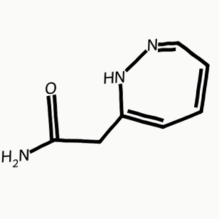 NC(=O)CC1=CC=CC=NN1